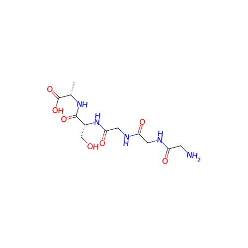 C[C@H](NC(=O)[C@@H](CO)NC(=O)CNC(=O)CNC(=O)CN)C(=O)O